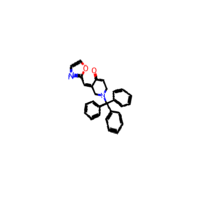 O=C1CCN(C(c2ccccc2)(c2ccccc2)c2ccccc2)CC1=Cc1ncco1